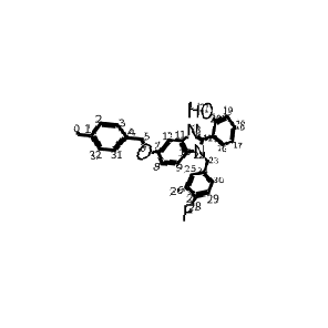 Cc1ccc(COc2ccc3c(c2)nc(-c2ccccc2O)n3Cc2ccc(F)cc2)cc1